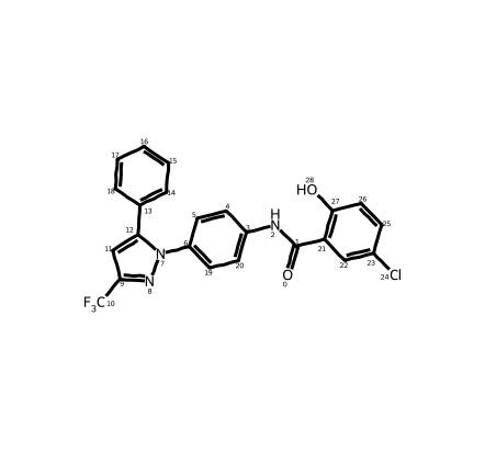 O=C(Nc1ccc(-n2nc(C(F)(F)F)cc2-c2ccccc2)cc1)c1cc(Cl)ccc1O